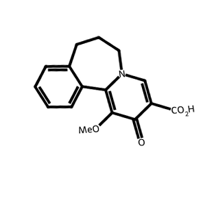 COc1c2n(cc(C(=O)O)c1=O)CCCc1ccccc1-2